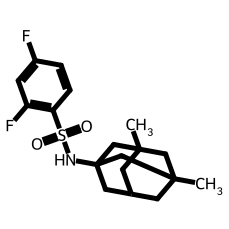 CC12CC3CC(C)(C1)CC(NS(=O)(=O)c1ccc(F)cc1F)(C3)C2